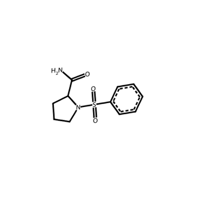 NC(=O)C1CCCN1S(=O)(=O)c1ccccc1